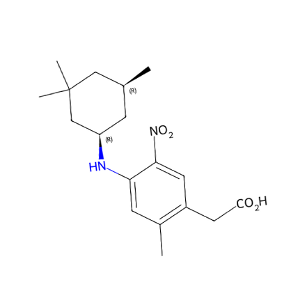 Cc1cc(N[C@@H]2C[C@H](C)CC(C)(C)C2)c([N+](=O)[O-])cc1CC(=O)O